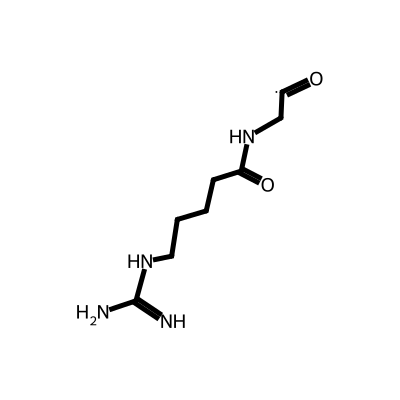 N=C(N)NCCCCC(=O)NC[C]=O